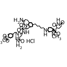 Cl.Cn1c(=O)n(C2CCC(=O)NC2=O)c2ccc(NCCCCCc3cc4c5c(c3)C[C@@H](C(=O)N[C@@H](CCC(N)=O)C(=O)NCc3ccc(S(C)(=O)=O)cc3)N5C(=O)[C@@H](N)CC4)cc21